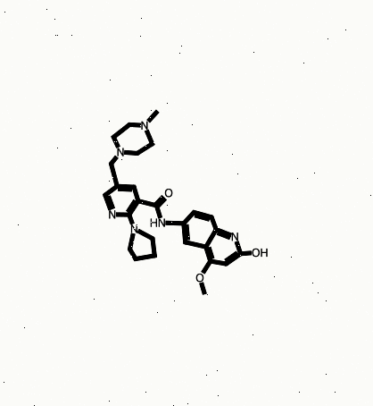 COc1cc(O)nc2ccc(NC(=O)c3cc(CN4CCN(C)CC4)cnc3N3CCCC3)cc12